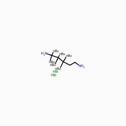 Br.Br.CCCCC(N)(CCCC)C(CCCC)(CCCC)C(CCN)(CCCC)CCCC